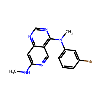 CNc1cc2ncnc(N(C)c3cccc(Br)c3)c2cn1